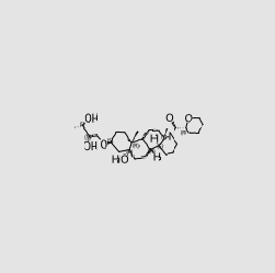 C[C@H](O)[C@@H](O)CO[C@H]1CC[C@]2(C)C3CC[C@@]4(C)[C@@H](CCCN4C(=O)[C@H]4CCCCO4)[C@@H]3CC[C@@]2(O)C1